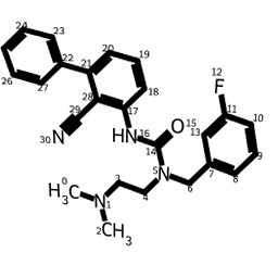 CN(C)CCN(Cc1cccc(F)c1)C(=O)Nc1cccc(-c2ccccc2)c1C#N